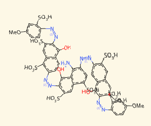 COc1ccc(/N=N\c2c(S(=O)(=O)O)cc3cc(S(=O)(=O)O)c(/N=N\c4cc(S(=O)(=O)O)c5cc(S(=O)(=O)O)c(/N=N\c6ccc7c(O)c(/N=N\c8ccc(OC)cc8S(=O)(=O)O)c(S(=O)(=O)O)cc7c6S(=O)(=O)O)c(O)c5c4N)cc3c2O)c(S(=O)(=O)O)c1